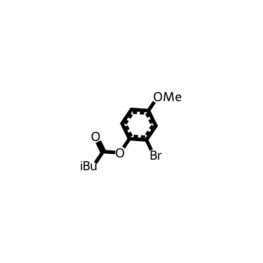 CCC(C)C(=O)Oc1ccc(OC)cc1Br